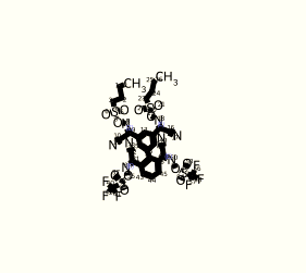 CCCCS(=O)(=O)O/N=C(\C#N)c1cc(/C(C#N)=N\OS(=O)(=O)CCCC)cc(-c2c(/C(C#N)=N\OS(=O)(=O)C(F)(F)F)cccc2/C(C#N)=N\OS(=O)(=O)C(F)(F)F)c1